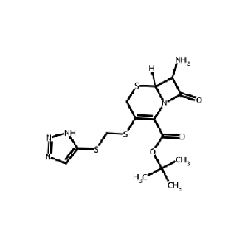 CC(C)(C)OC(=O)C1=C(SCSc2cnn[nH]2)CS[C@@H]2C(N)C(=O)N12